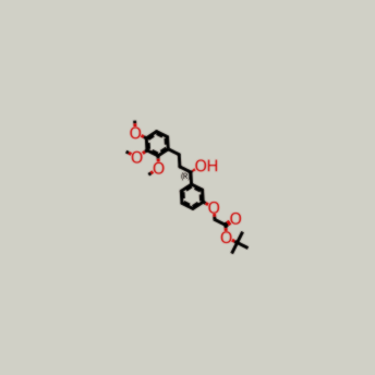 COc1ccc(CC[C@@H](O)c2cccc(OCC(=O)OC(C)(C)C)c2)c(OC)c1OC